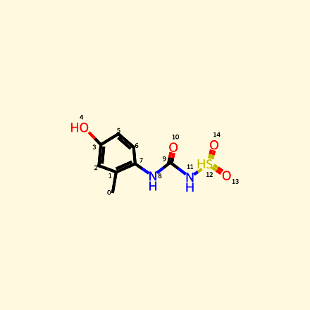 Cc1cc(O)ccc1NC(=O)N[SH](=O)=O